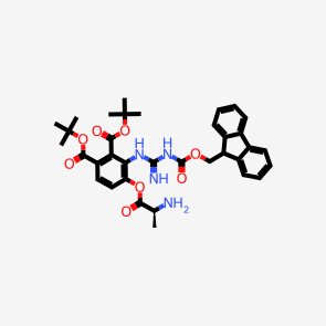 C[C@H](N)C(=O)Oc1ccc(C(=O)OC(C)(C)C)c(C(=O)OC(C)(C)C)c1NC(=N)NC(=O)OCC1c2ccccc2-c2ccccc21